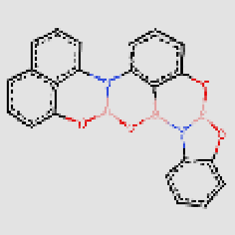 c1ccc2c(c1)OB1Oc3cccc4c3B(OB3Oc5cccc6cccc(c56)N34)N12